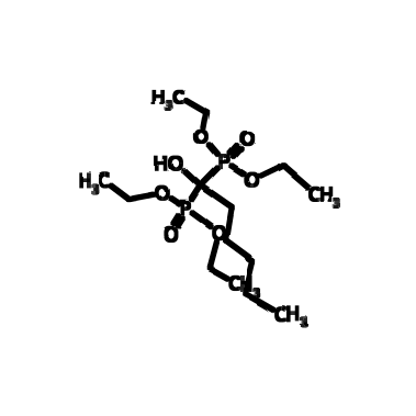 CCCCCC(O)(P(=O)(OCC)OCC)P(=O)(OCC)OCC